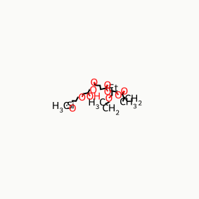 C=C(C)COCC(CC)(COC(=O)C(=C)C)OC(=O)CCC(=O)OCC(O)COCCC[Si](C)=O